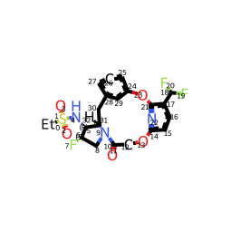 CCS(=O)(=O)N[C@H]1[C@@H](F)CN2C(=O)COc3ccc(C(F)F)c(n3)Oc3cccc(c3)C[C@@H]12